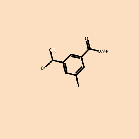 COC(=O)c1cc(I)cc(C(C)Br)c1